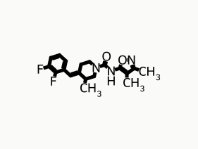 Cc1noc(NC(=O)N2CC/C(=C\c3cccc(F)c3F)C(C)C2)c1C